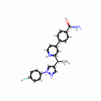 CC(c1cnn(-c2ccc(F)cc2)c1)c1cc(-c2ccc(C(N)=O)cc2)ccn1